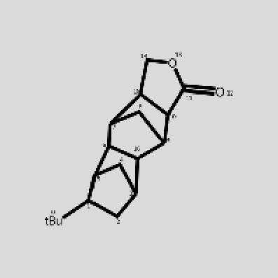 CC(C)(C)C1CC2CC1C1C3CC(C4C(=O)OCC34)C21